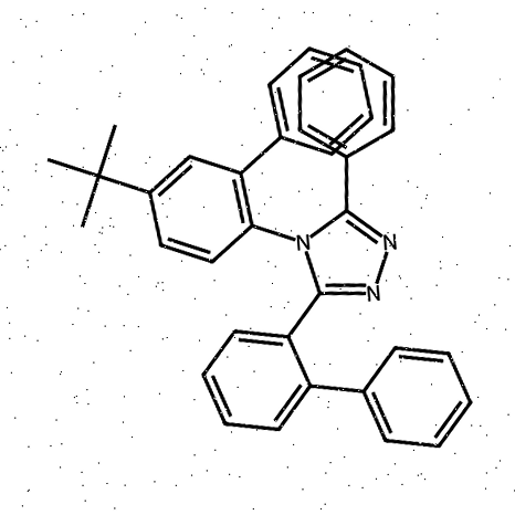 CC(C)(C)c1ccc(-n2c(-c3ccccc3)nnc2-c2ccccc2-c2ccccc2)c(-c2ccccc2)c1